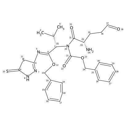 CC(C)[C@@H](C(=Nc1n[nH]c(=S)s1)OCc1ccccc1)N(C(=O)OCc1ccccc1)C(=O)[C@@H](N)CC[C]=O